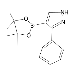 CC1(C)OB(c2c[nH]nc2-c2ccccc2)OC1(C)C